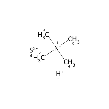 C[N+](C)(C)C.[H+].[S-2]